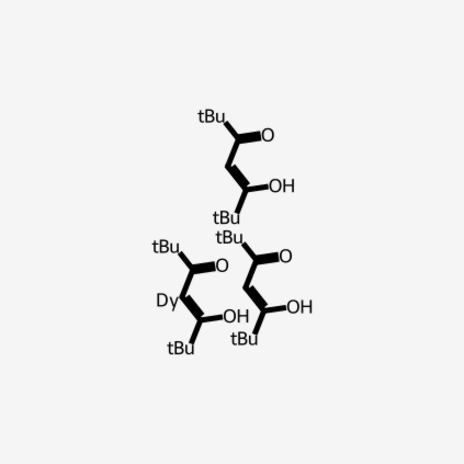 CC(C)(C)C(=O)C=C(O)C(C)(C)C.CC(C)(C)C(=O)C=C(O)C(C)(C)C.CC(C)(C)C(=O)C=C(O)C(C)(C)C.[Dy]